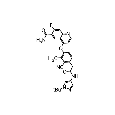 Cc1c(Oc2ccnc3cc(F)c(C(N)=O)cc23)ccc(CC(=O)Nc2cnn(C(C)(C)C)c2)c1C#N